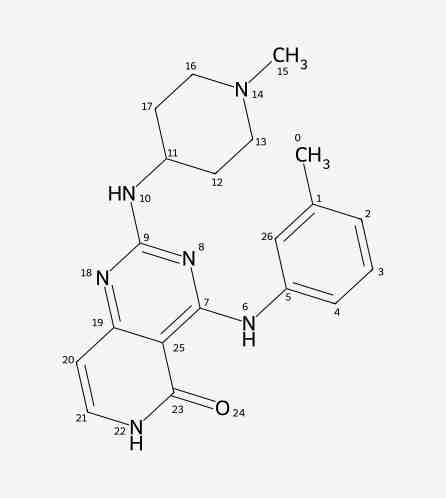 Cc1cccc(Nc2nc(NC3CCN(C)CC3)nc3cc[nH]c(=O)c23)c1